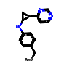 COCc1ccc(NC2CC2c2ccncn2)cc1